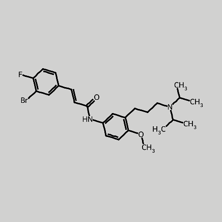 COc1ccc(NC(=O)/C=C/c2ccc(F)c(Br)c2)cc1CCCN(C(C)C)C(C)C